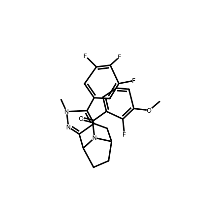 COc1cccc(C(=O)N2C3CCC2c2nn(C)c(-c4cc(F)c(F)c(F)c4)c2C3)c1F